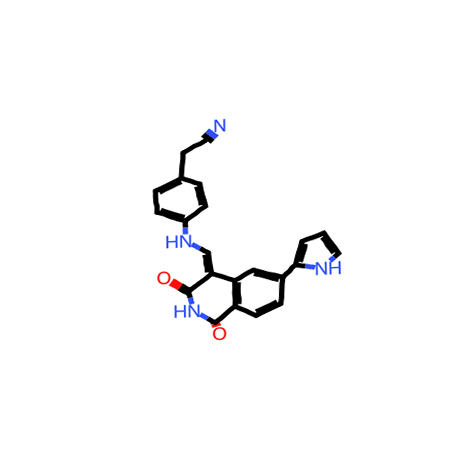 N#CCc1ccc(NC=C2C(=O)NC(=O)c3ccc(-c4ccc[nH]4)cc32)cc1